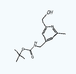 Cc1cc(CNC(=O)OC(C)(C)C)cc(CO)n1